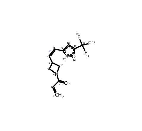 C=CC(=O)N1CC(/C=C\c2cc(C(F)(F)F)on2)C1